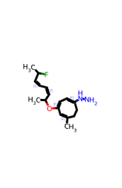 C/C1=C/C(OC(C)/C=C\C=C/C(C)F)=C\C=C(\NN)CC1